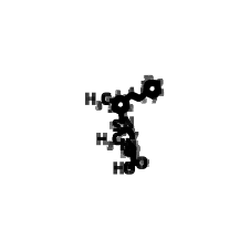 Cc1cc(/C=C/c2ccccc2)cc(-c2nc(Cn3cc(C(=O)O)cn3)c(C)s2)c1